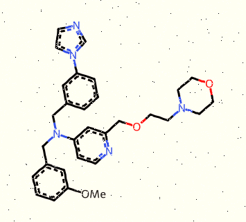 COc1cccc(CN(Cc2cccc(-n3ccnc3)c2)c2ccnc(COCCN3CCOCC3)c2)c1